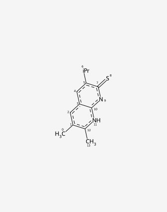 Cc1cc2cc(C(C)C)c(=S)nc-2[nH]c1C